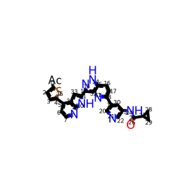 CC(=O)c1ccc(-c2ccnc3[nH]c(-c4n[nH]c5ccc(-c6cncc(NC(=O)C7CC7)c6)nc45)cc23)s1